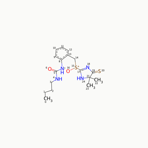 CCCCNC(=O)Nc1ccccc1C[S+]([O-])C1=NC(=S)C(C)(C)N1